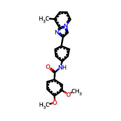 COc1ccc(C(=O)Nc2ccc(-c3cn4cccc(C)c4n3)cc2)cc1OC